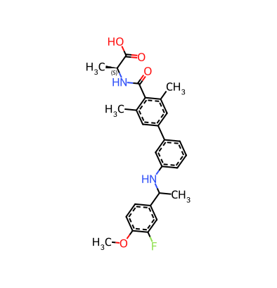 COc1ccc(C(C)Nc2cccc(-c3cc(C)c(C(=O)N[C@@H](C)C(=O)O)c(C)c3)c2)cc1F